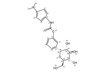 CN(C)c1ccc(NC(=O)Oc2cccc([C@H]3O[C@H](CO)[C@@H](O)[C@H](O)[C@H]3O)c2)cc1